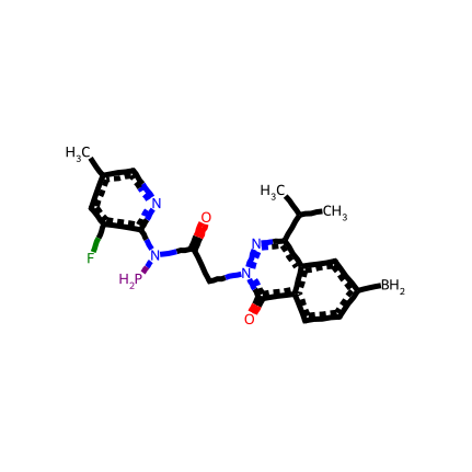 Bc1ccc2c(=O)n(CC(=O)N(P)c3ncc(C)cc3F)nc(C(C)C)c2c1